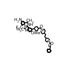 COc1cc2nc(C)nc(N[C@H](C)c3cc(N)cc(C(F)(F)F)c3)c2cc1C1CCC(C(=O)N2CCC(CCC3CCN(C(=O)OCc4ccccc4)CC3)CC2)CC1